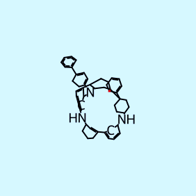 C1=CCCC(C23CCC(CC2)NC2C=CC=C(C2)C2=CC(CCC2)NC2=CC=C4C5CCC3CC5N(C3=CC=C(c5ccccc5)CC3)C4C2)=C1